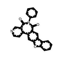 O=c1c2cnccc2c2cc3oc4ccccc4c3cc2c(=O)n1-c1ccccc1